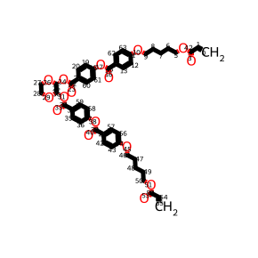 C=CC(=O)OCCCCCOc1ccc(C(=O)Oc2ccc(C(=O)O[C@@H]3OCCO[C@H]3OC(=O)c3ccc(OC(=O)c4ccc(OCCCCCOC(=O)C=C)cc4)cc3)cc2)cc1